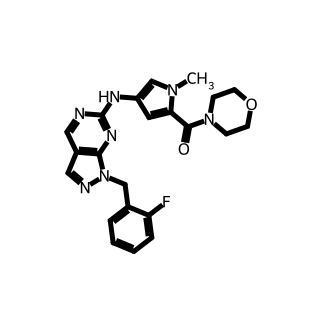 Cn1cc(Nc2ncc3cnn(Cc4ccccc4F)c3n2)cc1C(=O)N1CCOCC1